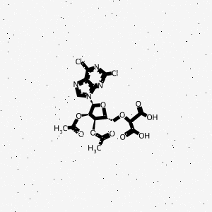 CC(=O)O[C@@H]1[C@H](OC(C)=O)[C@@H](COC(C(=O)O)C(=O)O)O[C@H]1n1cnc2c(Cl)nc(Cl)nc21